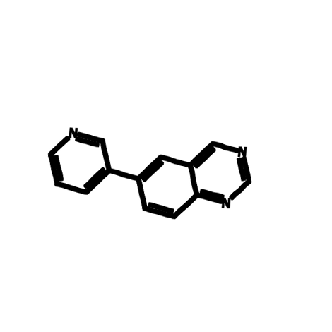 c1cncc(-c2ccc3ncncc3c2)c1